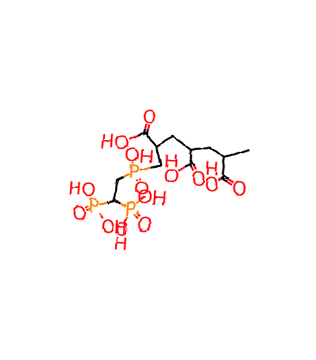 CC(CC(CC(CP(=O)(O)CC(P(=O)(O)O)P(=O)(O)O)C(=O)O)C(=O)O)C(=O)O